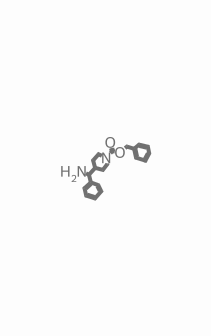 NC(c1ccccc1)C1CCN(C(=O)OCc2ccccc2)CC1